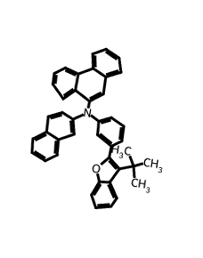 CC(C)(C)c1c(-c2cccc(N(c3ccc4ccccc4c3)c3cc4ccccc4c4ccccc34)c2)oc2ccccc12